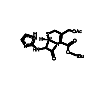 CC(=O)OCC1=C(C(=O)OC(C)(C)C)N2C(=O)C(Nc3ncc[nH]3)[C@@H]2SC1